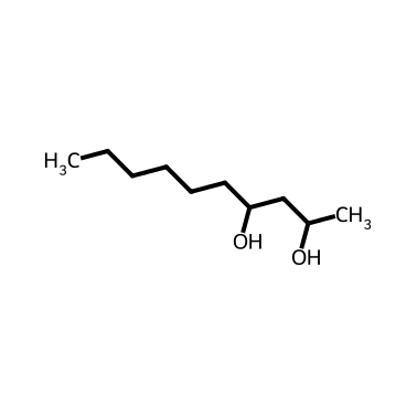 CCCCCCC(O)CC(C)O